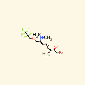 CC(=C=C/C=C(/COCC(F)(F)C(F)(F)F)N(C)C)C(=O)CBr